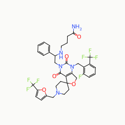 NC(=O)CCCNC(Cn1c(=O)c2c(n(Cc3c(F)cccc3C(F)(F)F)c1=O)COC21CCN(Cc2ccc(C(F)(F)F)o2)CC1)c1ccccc1